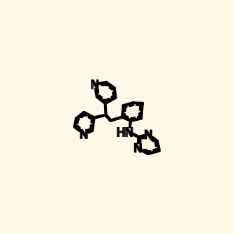 c1cnc(Nc2ccccc2CC(c2cccnc2)c2cccnc2)nc1